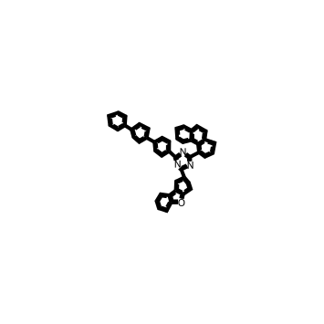 c1ccc(-c2ccc(-c3ccc(-c4nc(-c5ccc6oc7ccccc7c6c5)nc(-c5cccc6ccc7ccccc7c56)n4)cc3)cc2)cc1